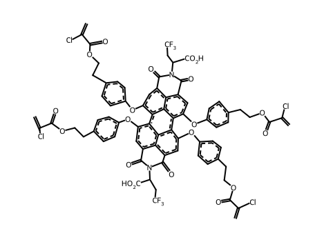 C=C(Cl)C(=O)OCCc1ccc(Oc2cc3c4c(cc(Oc5ccc(CCOC(=O)C(=C)Cl)cc5)c5c6c(Oc7ccc(CCOC(=O)C(=C)Cl)cc7)cc7c8c(cc(Oc9ccc(CCOC(=O)C(=C)Cl)cc9)c(c2c45)c86)C(=O)N(C(CC(F)(F)F)C(=O)O)C7=O)C(=O)N(C(CC(F)(F)F)C(=O)O)C3=O)cc1